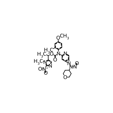 COc1ccc(N(C(=O)OC(C)c2cnc([N+](=O)[O-])n2C)c2cc3c(cn2)N3N(N=O)C2CCOCC2)c(C)c1